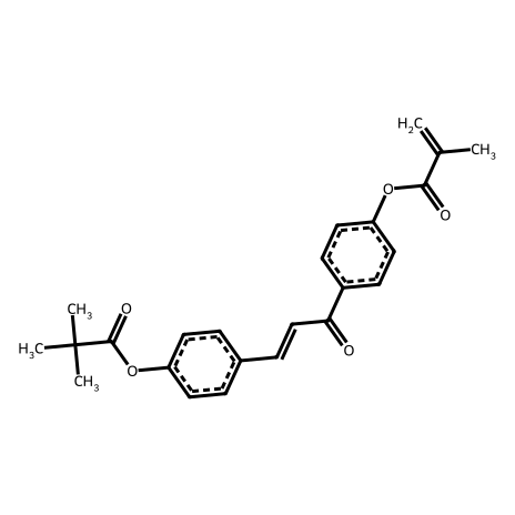 C=C(C)C(=O)Oc1ccc(C(=O)/C=C/c2ccc(OC(=O)C(C)(C)C)cc2)cc1